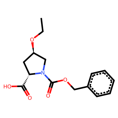 CCO[C@@H]1C[C@@H](C(=O)O)N(C(=O)OCc2ccccc2)C1